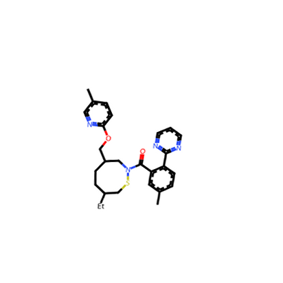 CCC1CCC(COc2ccc(C)cn2)CN(C(=O)c2cc(C)ccc2-c2ncccn2)SC1